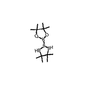 CC1(C)BB(B2OC(C)(C)C(C)(C)O2)BC1(C)C